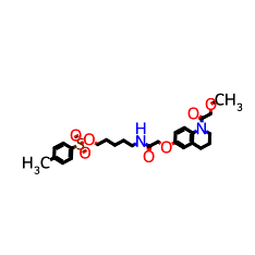 COCC(=O)N1CCCc2cc(OCC(=O)NCCCCCOS(=O)(=O)c3ccc(C)cc3)ccc21